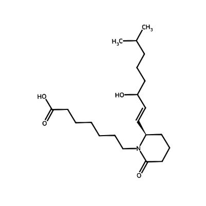 CC(C)CCCC(O)/C=C/[C@H]1CCCC(=O)N1CCCCCCC(=O)O